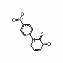 O=C1C=CCN(c2ccc([N+](=O)[O-])cc2)C1=S